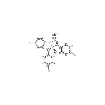 Cc1ccc(OP(=O)(Oc2ccc(C)cc2)Oc2ccc(C)cc2)cc1.[K+].[OH-]